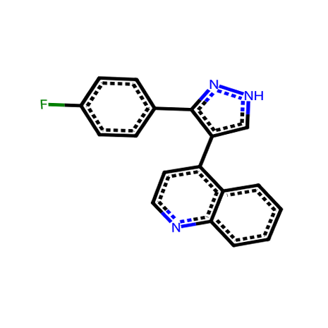 Fc1ccc(-c2n[nH]cc2-c2ccnc3ccccc23)cc1